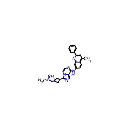 Cc1cc(-c2ccccc2)nc2cc(Nc3nccn4c(C5CC(CN(C)C)C5)ncc34)ccc12